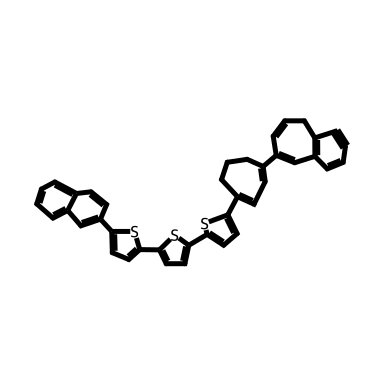 c1ccc2c(c#1)CC=CC(C1=CC=C(c3ccc(-c4ccc(-c5ccc(-c6ccc7ccccc7c6)s5)s4)s3)CCC1)=C2